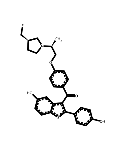 C[C@@H](COc1ccc(C(=O)c2c(-c3ccc(O)cc3)sc3ccc(O)cc23)cc1)N1CC[C@@H](CF)C1